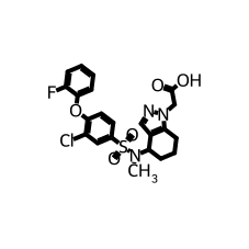 CN(C1CCCc2c1cnn2CC(=O)O)S(=O)(=O)c1ccc(Oc2ccccc2F)c(Cl)c1